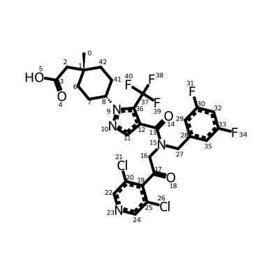 C[C@]1(CC(=O)O)CC[C@@H](n2ncc(C(=O)N(CC(=O)c3c(Cl)cncc3Cl)Cc3cc(F)cc(F)c3)c2C(F)(F)F)CC1